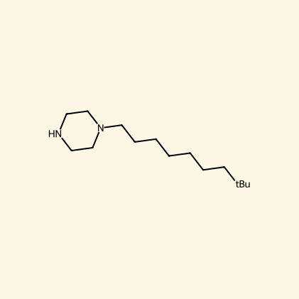 CC(C)(C)CCCCCCCN1CCNCC1